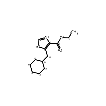 CCOC(=O)c1n[c]oc1CC1CCCCC1